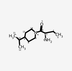 CC[C@@H](N)C(=O)N1CCC(C(C)C)CC1